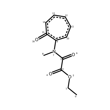 CCOC(=O)C(=O)N(C)c1cccccc1=O